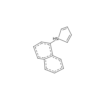 C1=C[SiH](c2cccc3ccccc23)C=C1